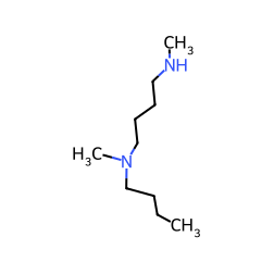 CCCCN(C)CCCCNC